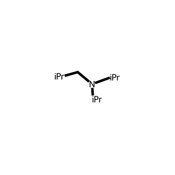 CC(C)CN(C(C)C)C(C)C